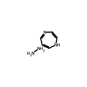 C1=CNC=CN=C1.NN